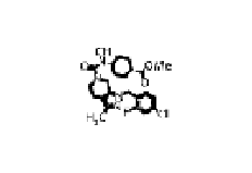 COC(=O)[C@H]1CC[C@H](N(C)C(=O)N2CCc3c(C)nn(Cc4ccc(Cl)cc4F)c3C2)CC1